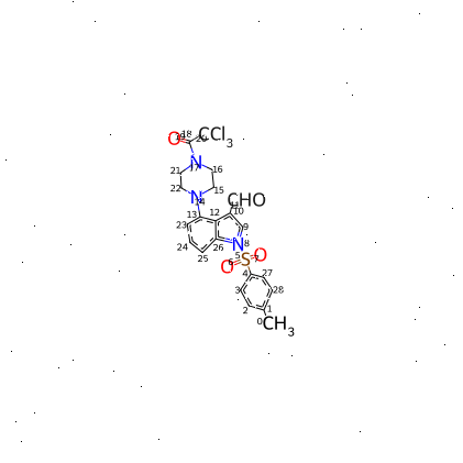 Cc1ccc(S(=O)(=O)n2cc(C=O)c3c(N4CCN(C(=O)C(Cl)(Cl)Cl)CC4)cccc32)cc1